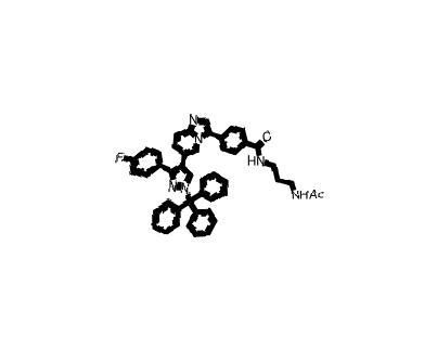 CC(=O)NCCCNC(=O)c1ccc(-c2cnc3ccc(-c4cn(C(c5ccccc5)(c5ccccc5)c5ccccc5)nc4-c4ccc(F)cc4)cn23)cc1